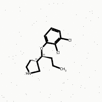 CCC[C@H](Oc1cccc(Cl)c1Cl)[C@H]1CCNC1